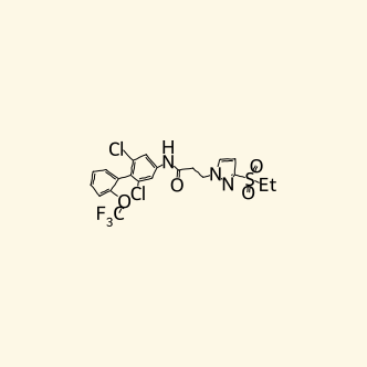 CCS(=O)(=O)c1ccn(CCC(=O)Nc2cc(Cl)c(-c3ccccc3OC(F)(F)F)c(Cl)c2)n1